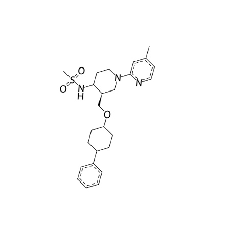 Cc1ccnc(N2CCC(NS(C)(=O)=O)[C@H](COC3CCC(c4ccccc4)CC3)C2)c1